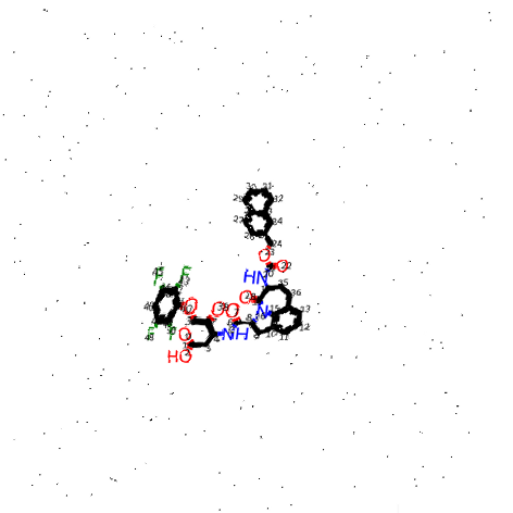 O=C(O)CC(NC(=O)[C@@H]1Cc2cccc3c2N1C(=O)[C@@H](NC(=O)OCc1ccc2ccccc2c1)CC3)C(=O)COc1c(F)c(F)cc(F)c1F